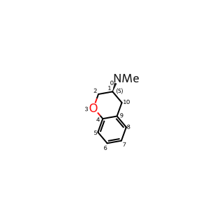 CN[C@@H]1COc2ccccc2C1